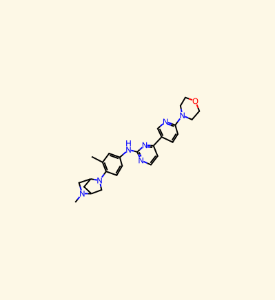 Cc1cc(Nc2nccc(-c3ccc(N4CCOCC4)nc3)n2)ccc1N1CC2CC1CN2C